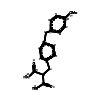 CCCCC(=O)C(Cc1ccc(Cc2ccc(OC)cc2)cc1)C(=O)CCCC